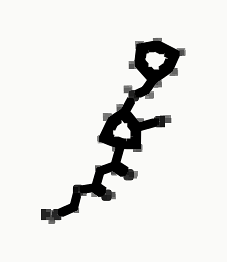 CCOC(=O)CC(=O)c1ccc(OCc2ccccc2)c(Cl)c1